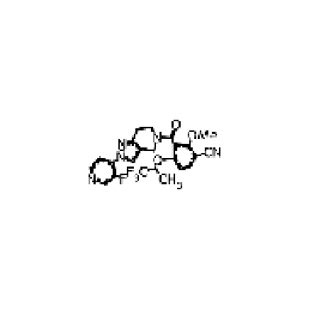 COc1c(C#N)ccc(O[C@@H](C)C(F)(F)F)c1C(=O)N1CCc2nn(-c3ccncc3F)cc2C1